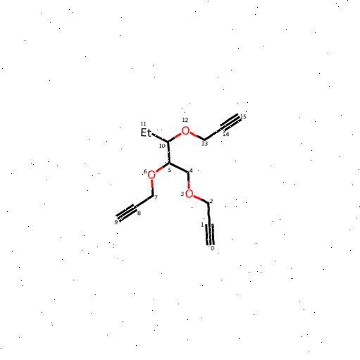 C#CCOCC(OCC#C)C(CC)OCC#C